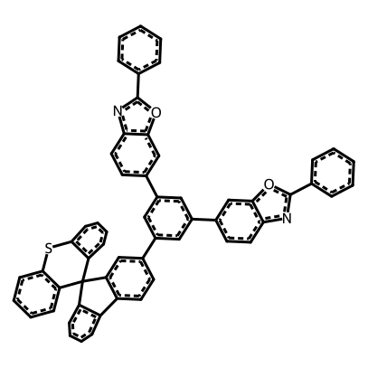 c1ccc(-c2nc3ccc(-c4cc(-c5ccc6c(c5)C5(c7ccccc7Sc7ccccc75)c5ccccc5-6)cc(-c5ccc6nc(-c7ccccc7)oc6c5)c4)cc3o2)cc1